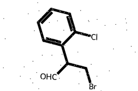 O=CC(CBr)c1ccccc1Cl